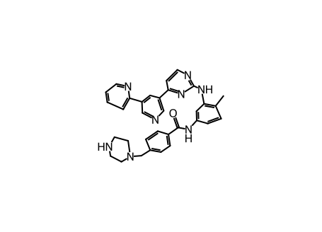 Cc1ccc(NC(=O)c2ccc(CN3CCNCC3)cc2)cc1Nc1nccc(-c2cncc(-c3ccccn3)c2)n1